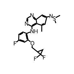 Cc1cc(N=S(C)C)cc2ncnc(Nc3ccc(F)cc3OCC3CC3(F)F)c12